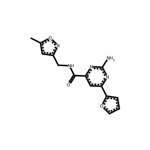 Cc1cc(CNC(=O)c2cc(-c3ccco3)nc(N)n2)no1